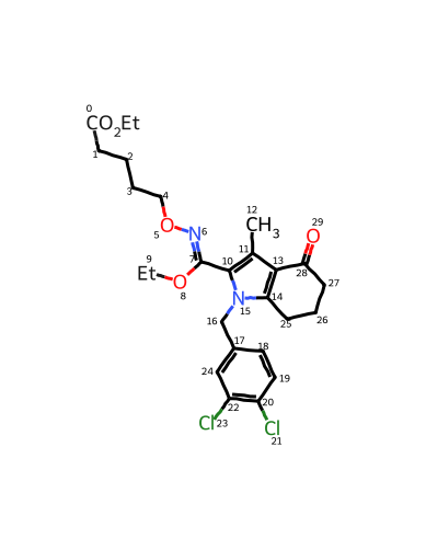 CCOC(=O)CCCCON=C(OCC)c1c(C)c2c(n1Cc1ccc(Cl)c(Cl)c1)CCCC2=O